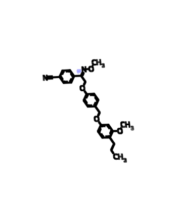 CCCc1ccc(OCc2ccc(OC/C(=N\OC)c3ccc(C#N)cc3)cc2)cc1OC